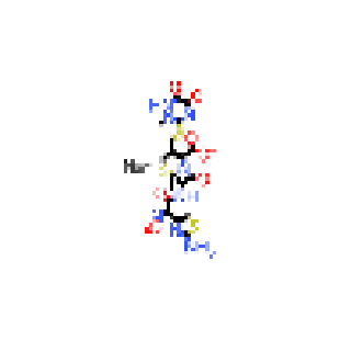 CO/N=C(/C(=O)N[C@@H]1C(=O)N2C(C(=O)[O-])=C(CSc3nc(=O)c(=O)[nH]n3C)CS[C@H]12)c1csc(N)n1.[Na+]